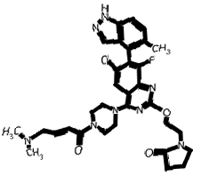 Cc1ccc2[nH]ncc2c1-c1c(Cl)cc2c(N3CCN(C(=O)C=CCN(C)C)CC3)nc(OCCN3CCCC3=O)nc2c1F